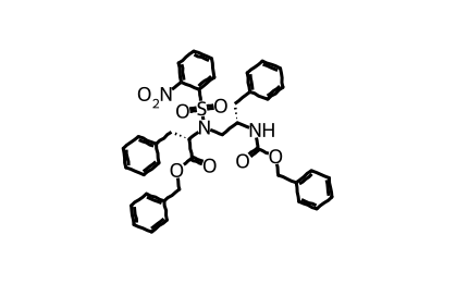 O=C(N[C@@H](Cc1ccccc1)CN([C@@H](Cc1ccccc1)C(=O)OCc1ccccc1)S(=O)(=O)c1ccccc1[N+](=O)[O-])OCc1ccccc1